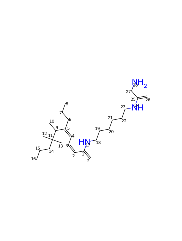 C=C(/C=C\C=C(\CCC)C(C)C(C)(C)CCC)NCCCCCCNC(=C)CN